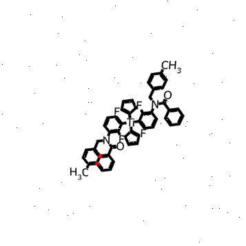 Cc1ccc(CN(C(=O)c2ccccc2)c2ccc(F)[c]([Ti]([C]3=CC=CC3)([C]3=CC=CC3)[c]3c(F)ccc(N(Cc4ccc(C)cc4)C(=O)c4ccccc4)c3F)c2F)cc1